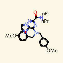 CCCN(CCC)C(=O)c1nc(N(Cc2ccc(OC)cc2)Cc2ccc(OC)cc2)c2nccn2n1